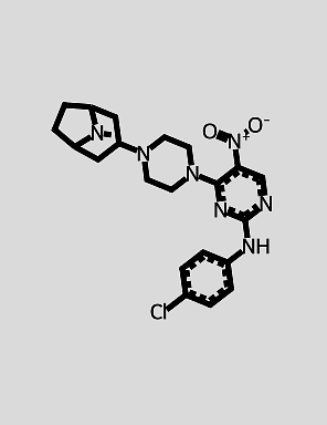 CN1C2CCC1CC(N1CCN(c3nc(Nc4ccc(Cl)cc4)ncc3[N+](=O)[O-])CC1)C2